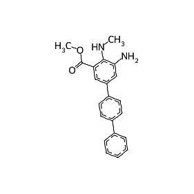 CNc1c(N)cc(-c2ccc(-c3ccccc3)cc2)cc1C(=O)OC